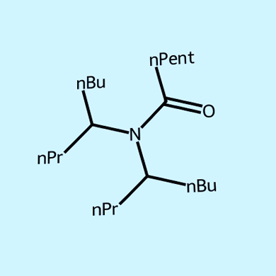 CCCCCC(=O)N(C(CCC)CCCC)C(CCC)CCCC